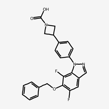 O=C(O)N1CC(c2ccc(-n3ncc4cc(F)c(OCc5ccccc5)c(F)c43)cc2)C1